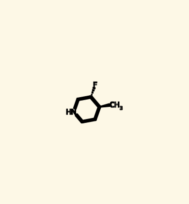 C[C@H]1CCNC[C@@H]1F